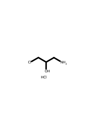 Cl.NCC(O)CCl